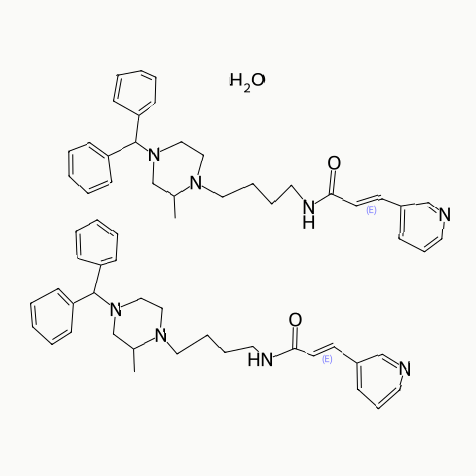 CC1CN(C(c2ccccc2)c2ccccc2)CCN1CCCCNC(=O)/C=C/c1cccnc1.CC1CN(C(c2ccccc2)c2ccccc2)CCN1CCCCNC(=O)/C=C/c1cccnc1.O